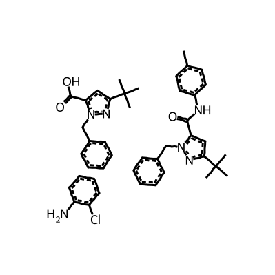 CC(C)(C)c1cc(C(=O)O)n(Cc2ccccc2)n1.Cc1ccc(NC(=O)c2cc(C(C)(C)C)nn2Cc2ccccc2)cc1.Nc1ccccc1Cl